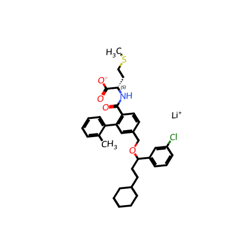 CSCC[C@H](NC(=O)c1ccc(COC(CCC2CCCCC2)c2cccc(Cl)c2)cc1-c1ccccc1C)C(=O)[O-].[Li+]